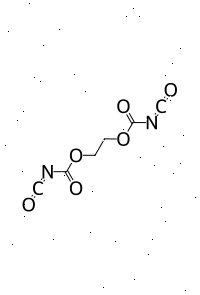 O=C=NC(=O)OCCOC(=O)N=C=O